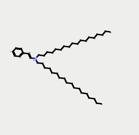 CCCCCCCCCCCCCCCCCCN(C=Cc1ccccc1)CCCCCCCCCCCCCCCCCC